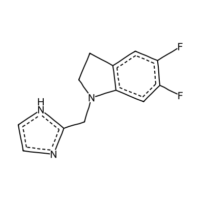 Fc1cc2c(cc1F)N(Cc1ncc[nH]1)CC2